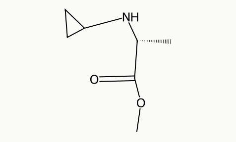 COC(=O)[C@@H](C)NC1CC1